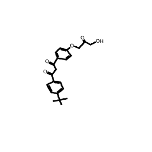 CC(C)(C)c1ccc(C(=O)CC(=O)c2ccc(OCC(=O)CO)cc2)cc1